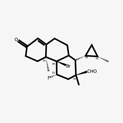 C[C@H]1C[C@H]1C1C2CCC3=CC(=O)CC[C@]3(C)[C@@]2(Br)[C@@H](F)C[C@]1(C)C=O